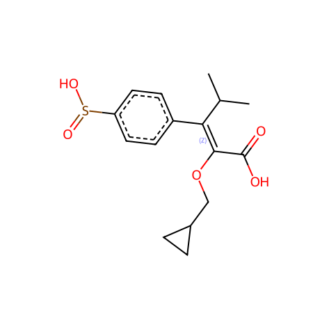 CC(C)/C(=C(/OCC1CC1)C(=O)O)c1ccc(S(=O)O)cc1